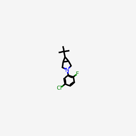 CC(C)(C)C1C2CN(c3cc(Cl)ccc3F)CC21